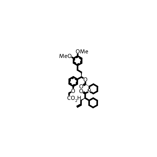 C=CC[C@@H](C(=O)N1CCCC[C@H]1C(=O)O[C@H](CCc1ccc(OC)c(OC)c1)c1cccc(OCC(=O)O)c1)C1CCCCC1